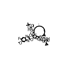 CC[C@@H]1C[C@H](C)CC/C=C\C2C[C@@]2(C(=O)NS(=O)(=O)C2CC2)NC(=O)[C@@H]2C[C@@H](Oc3nc4cc(OC)c(F)cc4nc3O)CN2C(=O)[C@H]1NC(=O)OC(C)(C)C